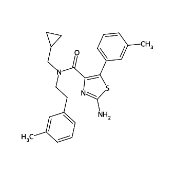 Cc1cccc(CCN(CC2CC2)C(=O)c2nc(N)sc2-c2cccc(C)c2)c1